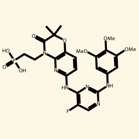 COc1cc(Nc2ncc(F)c(Nc3ccc4c(n3)N(CCP(=O)(O)O)C(=O)C(C)(C)O4)n2)cc(OC)c1OC